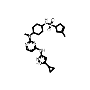 CC1=CCC(S(=O)(=O)NC2CCC(N(C)c3nccc(Nc4cc(C5CC5)[nH]n4)n3)CC2)C1